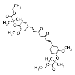 CCOC(=O)C(C)(C)Oc1ccc(/C=C/C(=O)CC(=O)/C=C/c2ccc(OC(C)(C)C(=O)OCC)c(OC)c2)cc1OC